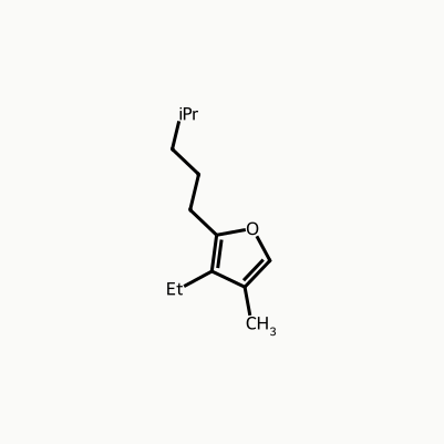 CCc1c(C)coc1CCCC(C)C